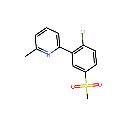 Cc1cccc(-c2cc(S(C)(=O)=O)ccc2Cl)n1